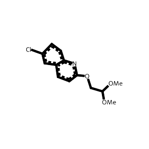 COC(COc1ccc2cc(Cl)ccc2n1)OC